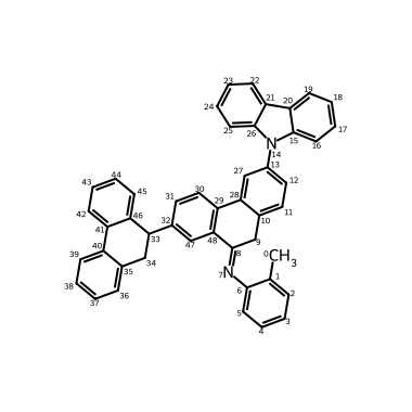 Cc1ccccc1/N=C1\Cc2ccc(-n3c4ccccc4c4ccccc43)cc2-c2ccc(C3Cc4ccccc4-c4ccccc43)cc21